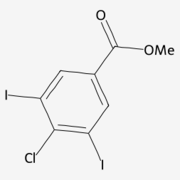 COC(=O)c1cc(I)c(Cl)c(I)c1